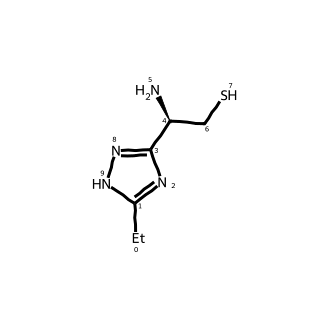 CCc1nc([C@@H](N)CS)n[nH]1